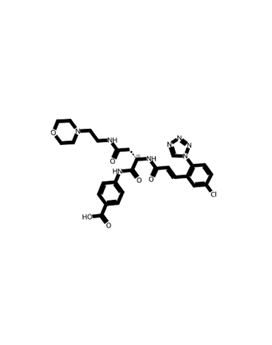 O=C(C=Cc1cc(Cl)ccc1-n1cnnn1)N[C@@H](CC(=O)NCCN1CCOCC1)C(=O)Nc1ccc(C(=O)O)cc1